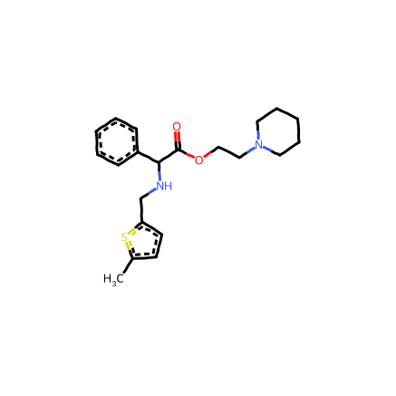 Cc1ccc(CNC(C(=O)OCCN2CCCCC2)c2ccccc2)s1